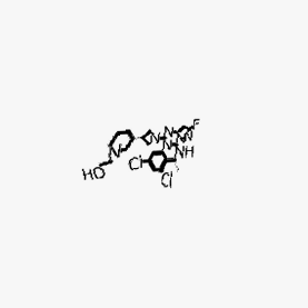 C[C@@H](Nc1nc(N2CC([C@H]3CCCN(CCO)C3)C2)nc2cc(F)nn12)c1ccc(Cl)cc1Cl